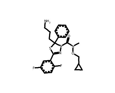 CN(OCC1CC1)C(=O)N1N=C(c2cc(F)ccc2F)SC1(CCCN)c1ccccc1